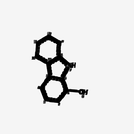 Oc1cccc2c1[nH]c1ccccc12